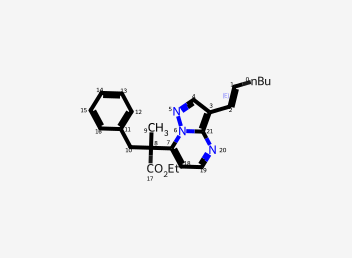 CCCC/C=C/c1cnn2c(C(C)(Cc3ccccc3)C(=O)OCC)ccnc12